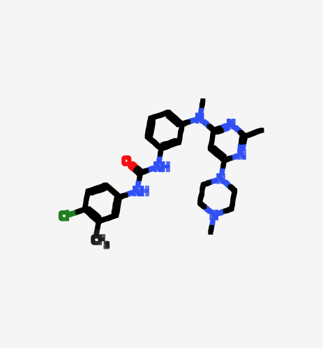 Cc1nc(N2CCN(C)CC2)cc(N(C)c2cccc(NC(=O)Nc3ccc(Cl)c(C(F)(F)F)c3)c2)n1